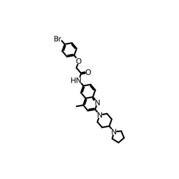 Cc1cc(N2CCC(N3CCCC3)CC2)nc2ccc(NC(=O)COc3ccc(Br)cc3)cc12